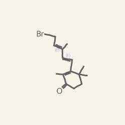 CC1=C(/C=C/C(C)=C/CBr)C(C)(C)CCC1=O